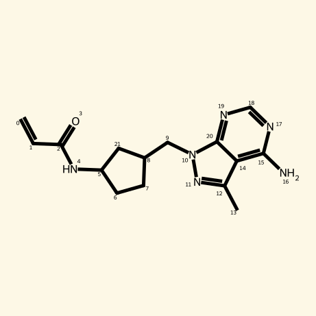 C=CC(=O)NC1CCC(Cn2nc(C)c3c(N)ncnc32)C1